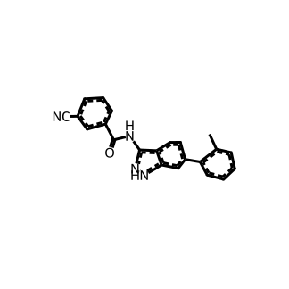 Cc1ccccc1-c1ccc2c(NC(=O)c3cccc(C#N)c3)n[nH]c2c1